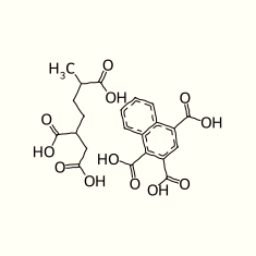 CC(CCC(CC(=O)O)C(=O)O)C(=O)O.O=C(O)c1cc(C(=O)O)c2ccccc2c1C(=O)O